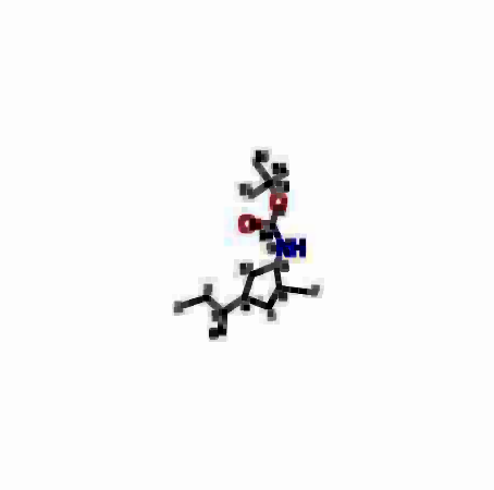 C=C(CC)C1CC(C)C(NC(=O)OC(C)(C)C)C1